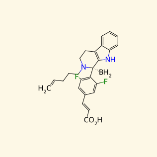 B[C@@]1(c2c(F)cc(/C=C/C(=O)O)cc2F)c2[nH]c3ccccc3c2CCN1CCCC=C